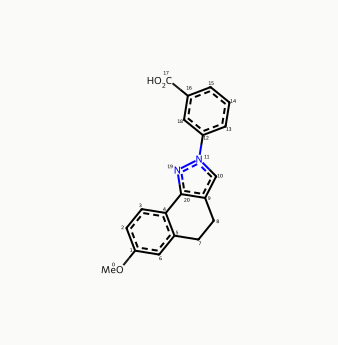 COc1ccc2c(c1)CCc1cn(-c3cccc(C(=O)O)c3)nc1-2